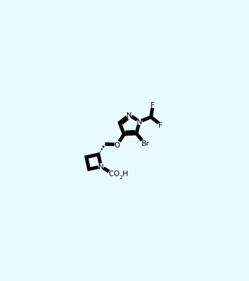 O=C(O)N1CC[C@@H]1COc1cnn(C(F)F)c1Br